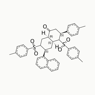 Cc1ccc([C@@H]2CC(=O)[C@@H]3CC(S(=O)(=O)c4ccc(C)cc4)[C@H](c4cccc5ccccc45)C[C@@H]3C2S(=O)(=O)c2ccc(C)cc2)cc1